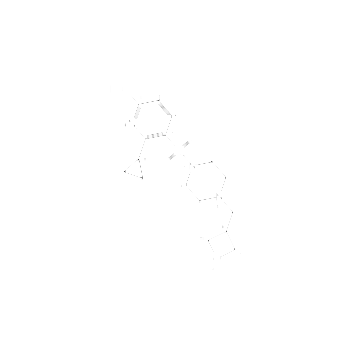 O=S(=O)(c1ccc(C(F)(F)F)nc1C1CC1)N1CCN(CC2COC2)CC1